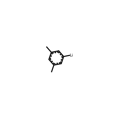 [Li][c]1cc(C)cc(C)c1